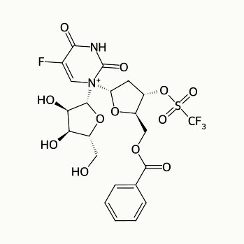 O=C1NC(=O)[N+]([C@@H]2C[C@H](OS(=O)(=O)C(F)(F)F)[C@@H](COC(=O)c3ccccc3)O2)([C@@H]2O[C@H](CO)[C@@H](O)[C@H]2O)C=C1F